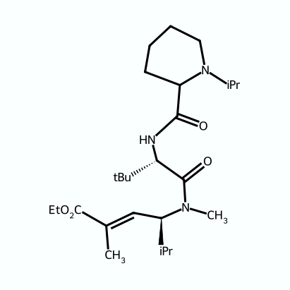 CCOC(=O)/C(C)=C/[C@H](C(C)C)N(C)C(=O)[C@@H](NC(=O)C1CCCCN1C(C)C)C(C)(C)C